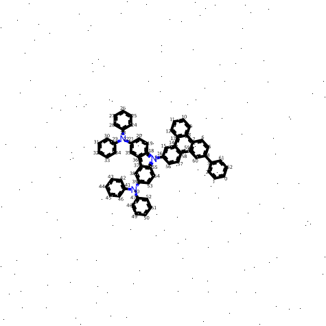 c1ccc(-c2ccc3c4ccccc4c4cc(-n5c6ccc(N(c7ccccc7)c7ccccc7)cc6c6cc(N(c7ccccc7)c7ccccc7)ccc65)ccc4c3c2)cc1